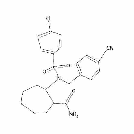 N#Cc1ccc(CN(C2CCCCCC2C(N)=O)S(=O)(=O)c2ccc(Cl)cc2)cc1